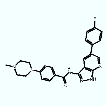 CN1CCN(c2ccc(C(=O)Nc3n[nH]c4ncc(-c5ccc(F)cc5)cc34)cc2)CC1